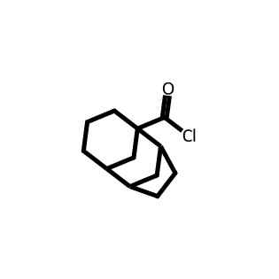 O=C(Cl)C12CCCC(C1)C1CCC2C1